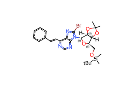 CC1(C)O[C@H]2[C@H](O1)[C@@H](CO[Si](C)(C)C(C)(C)C)O[C@H]2n1c(Br)nc2c(C=Cc3ccccc3)ncnc21